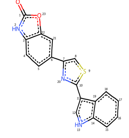 O=c1[nH]c2ccc(-c3csc(-c4c[nH]c5ccccc45)n3)cc2o1